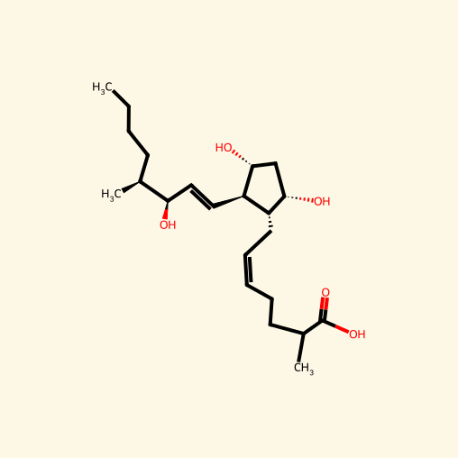 CCCC[C@H](C)[C@H](O)/C=C/[C@@H]1[C@@H](C/C=C\CCC(C)C(=O)O)[C@@H](O)C[C@H]1O